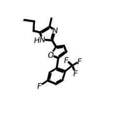 CCCc1[nH]c(-c2ccc(-c3cc(F)ccc3C(F)(F)F)o2)nc1C